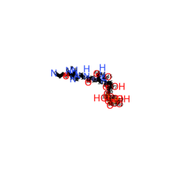 N#CCCOc1ncnc2c1ncn2CCNC(=O)/C=C/c1cn([C@H]2CC(O)[C@@H](COP(=O)(O)OP(=O)(O)OP(=O)(O)O)O2)c(=O)[nH]c1=O